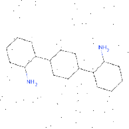 NC1CCCCC1C1CCC(C2CCCCC2N)CC1